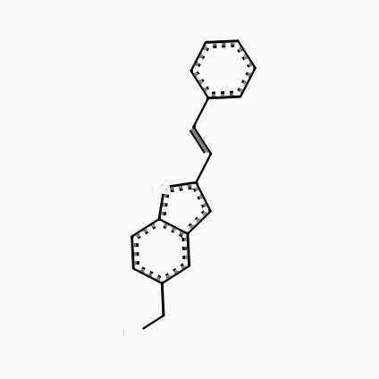 OCc1ccc2[nH]c(/C=C/c3ccccc3)cc2c1